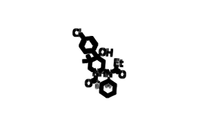 CCC(=O)N[C@@H]1CCCC[C@@H]1C(=O)N1CCC(O)(c2ccc(Cl)cc2)C(C)(C)C1